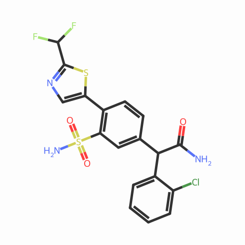 NC(=O)C(c1ccc(-c2cnc(C(F)F)s2)c(S(N)(=O)=O)c1)c1ccccc1Cl